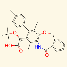 Cc1ccc(-c2c(C)c3c(c(C)c2[C@H](OC(C)(C)C)C(=O)O)NC(=O)c2ccccc2CO3)cc1